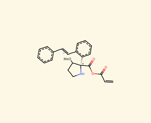 C=CC(=O)OC(=O)[C@@]1(c2ccccc2/C=C/c2ccccc2)NCCC1OC